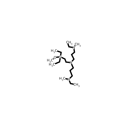 CCN(C)CCCN(CCCN(C)CC)CC[Si](CC)(CC)OC